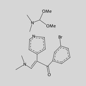 CN(C)/C=C(/C(=O)c1cccc(Br)c1)c1ccncc1.COC(OC)N(C)C